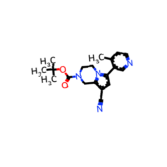 Cc1ccncc1-c1cc(C#N)c2n1CCN(C(=O)OC(C)(C)C)C2